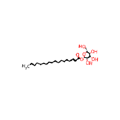 CCCCCCCCCCCCCCCC=CC(=O)O[C@@H]1O[C@H](CO)[C@@H](O)[C@H](O)[C@H]1O